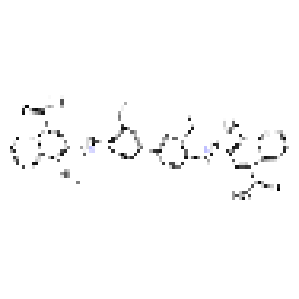 CCc1cc(-c2ccc(/N=N/c3cc(C(=O)O)c4ccccc4c3N)c(CC)c2)ccc1/N=N/c1cc(C(=O)O)c2ccccc2c1N